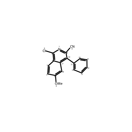 COc1ccc2c(Cl)nc(C#N)c(-c3ccccc3)c2c1